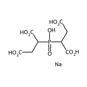 O=C(O)CC(C(=O)O)P(=O)(O)C(CC(=O)O)C(=O)O.[Na]